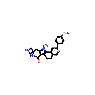 COc1ccc(-c2cc3c(cn2)CCc2c4c(n(C)c2-3)CC2(CNC2)NC4=O)cc1